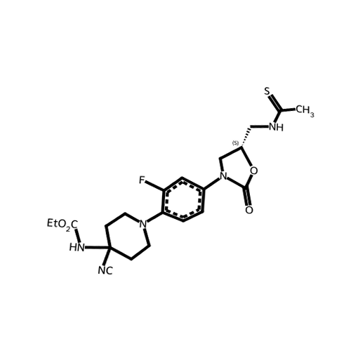 [C-]#[N+]C1(NC(=O)OCC)CCN(c2ccc(N3C[C@H](CNC(C)=S)OC3=O)cc2F)CC1